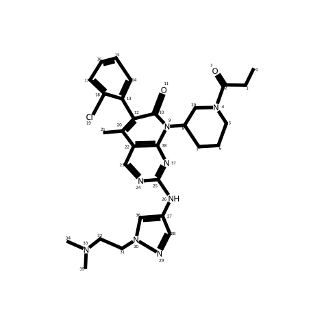 CCC(=O)N1CCCC(n2c(=O)c(-c3ccccc3Cl)c(C)c3cnc(Nc4cnn(CCN(C)C)c4)nc32)C1